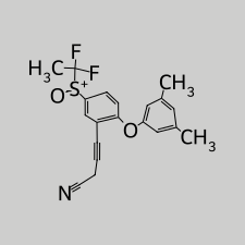 Cc1cc(C)cc(Oc2ccc([S+]([O-])C(C)(F)F)cc2C#CCC#N)c1